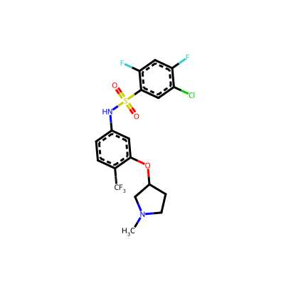 CN1CCC(Oc2cc(NS(=O)(=O)c3cc(Cl)c(F)cc3F)ccc2C(F)(F)F)C1